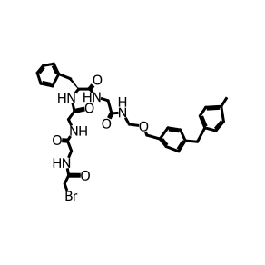 Cc1ccc(Cc2ccc(COCNC(=O)CNC(=O)[C@H](Cc3ccccc3)NC(=O)CNC(=O)CNC(=O)CBr)cc2)cc1